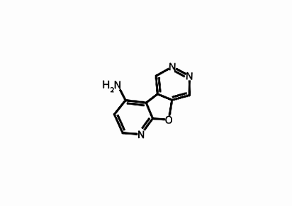 Nc1ccnc2oc3cnncc3c12